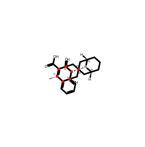 C[C@@H]1C[C@@H]2C[C@H](C1)C[C@@H](N1[C@@H]3CCC[C@H]1C[C@@H](n1c(=O)c(C(=O)O)nc4ccccc41)C3)C2